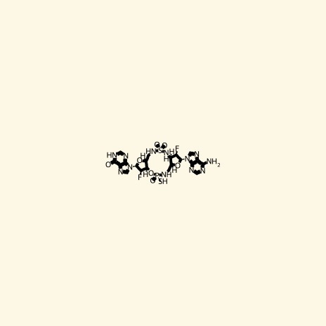 Nc1ncnc2c1ncn2[C@@H]1O[C@@H]2CN[P@@](=O)(S)O[C@H]3[C@@H](F)[C@H](n4cnc5c(=O)[nH]cnc54)O[C@@H]3CNS(=O)(=O)N[C@H]2[C@H]1F